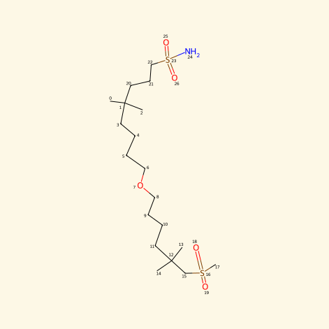 CC(C)(CCCCOCCCCC(C)(C)CS(C)(=O)=O)CCCS(N)(=O)=O